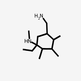 CCC1(NC)CC(CN)C(C)C(C)C1C